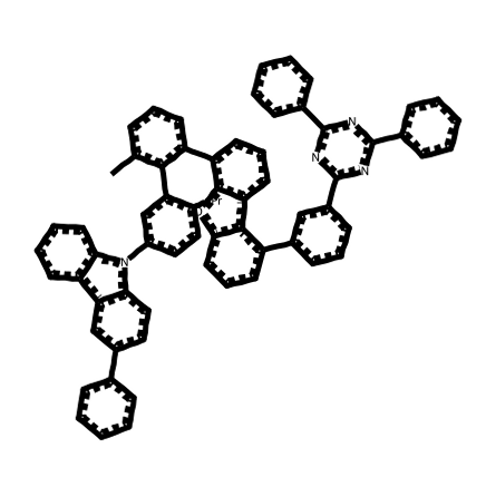 CCCc1ccc(-n2c3ccccc3c3cc(-c4ccccc4)ccc32)cc1-c1c(C)cccc1-c1cccc2c1oc1cccc(-c3cccc(-c4nc(-c5ccccc5)nc(-c5ccccc5)n4)c3)c12